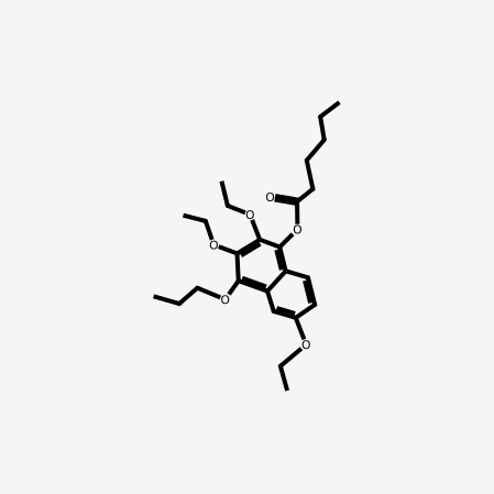 CCCCCC(=O)Oc1c(OCC)c(OCC)c(OCCC)c2cc(OCC)ccc12